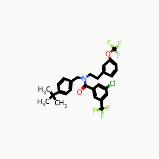 CC(C)(C)c1ccc(CN(CCc2cccc(OC(F)(F)F)c2)C(=O)c2cc(Cl)cc(C(F)(F)F)c2)cc1